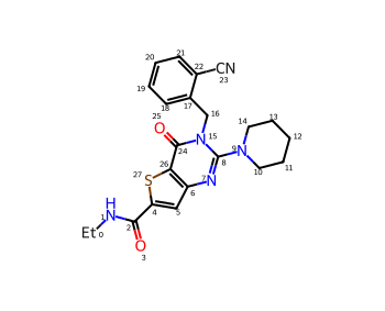 CCNC(=O)c1cc2nc(N3CCCCC3)n(Cc3ccccc3C#N)c(=O)c2s1